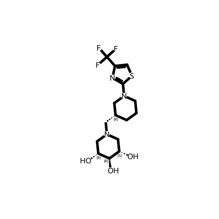 O[C@H]1[C@H](O)CN(C[C@H]2CCCN(c3nc(C(F)(F)F)cs3)C2)C[C@@H]1O